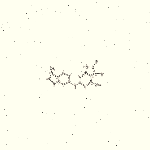 CCc1[nH]c2nc(Nc3cnc4c(c3)nnn4C)nc(OC)c2c1Br